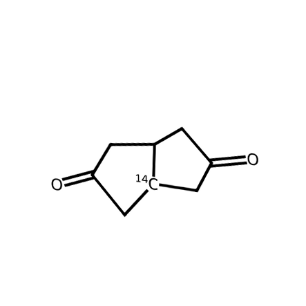 O=C1CC2CC(=O)C[14CH]2C1